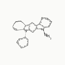 Nn1c2ccccc2c2cc3c4c(n(-c5ccccc5)c3cc21)C=CCC4